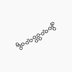 CC1(C)c2cc(-c3ccc4c(c3)C3(c5ccccc5-c5ccccc53)c3cc(-c5ccc6c(c5)C(C)(C)c5cc(-c7ccc8c(c7)c7ccccc7n8-c7ccccn7)ccc5-6)ccc3-4)ccc2-c2ccc(-c3ccc4c(c3)c3ccccc3n4-c3ccccn3)cc21